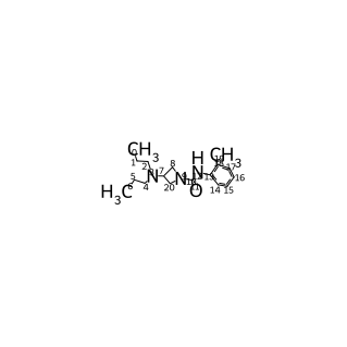 CCCN(CCC)C1CN(C(=O)Nc2ccccc2C)C1